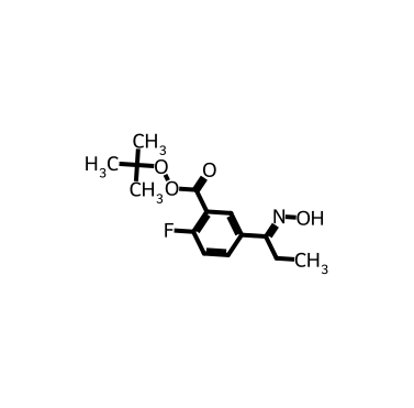 CCC(=NO)c1ccc(F)c(C(=O)OOC(C)(C)C)c1